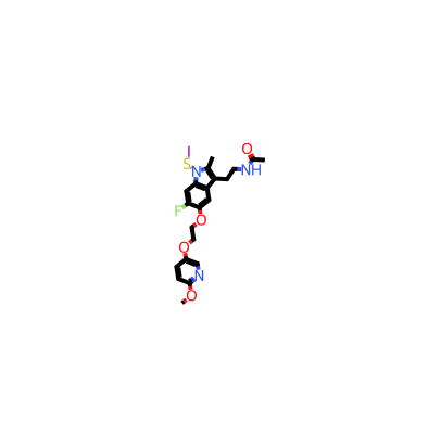 COc1ccc(OCCOc2cc3c(CCNC(C)=O)c(C)n(SI)c3cc2F)cn1